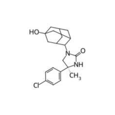 C[C@]1(c2ccc(Cl)cc2)CN(C2C3CC4CC2CC(O)(C4)C3)C(=O)N1